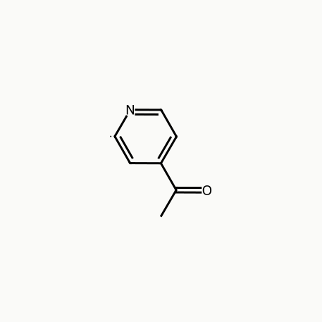 CC(=O)c1c[c]ncc1